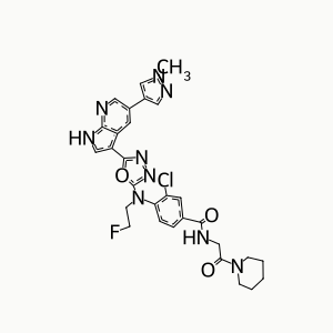 Cn1cc(-c2cnc3[nH]cc(-c4nnc(N(CCF)c5ccc(C(=O)NCC(=O)N6CCCCC6)cc5Cl)o4)c3c2)cn1